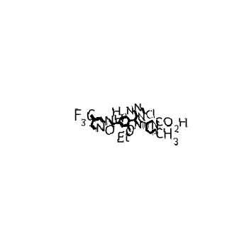 CCOc1cc(C(=O)Nc2cc(C(F)(F)F)ccn2)ccc1-c1nc([C@@H]2CC[C@H](C)N(C(=O)O)C2)n2c(Cl)cnc(N)c12